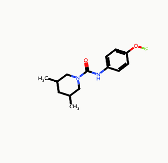 CC1CC(C)CN(C(=O)Nc2ccc(OF)cc2)C1